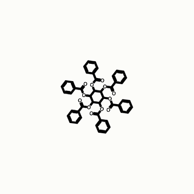 O=C(OC1C(OC(=O)c2ccccc2)C(OC(=O)c2ccccc2)C(OC(=O)c2ccccc2)C(OC(=O)c2ccccc2)C1OC(=O)c1ccccc1)c1ccccc1